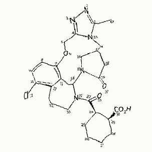 Cc1nnc(COc2ccc(Cl)c3c2C(N2CCCC2=O)N(C(=O)[C@@H]2CCCC[C@@H]2C(=O)O)CC3)n1C